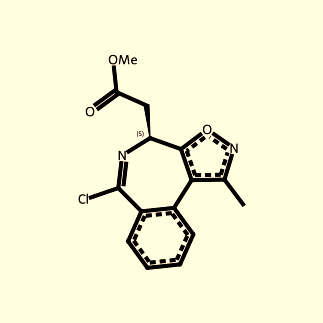 COC(=O)C[C@@H]1N=C(Cl)c2ccccc2-c2c(C)noc21